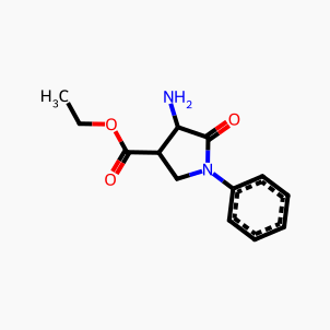 CCOC(=O)C1CN(c2ccccc2)C(=O)C1N